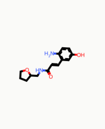 Nc1ccc(O)cc1C=CC(=O)NCC1CCCO1